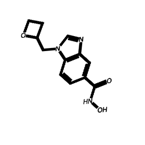 O=C(NO)c1ccc2c(c1)ncn2CC1CCO1